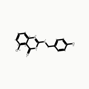 O=c1oc(SCc2ccc(Cl)cc2)nc2cccc(Cl)c12